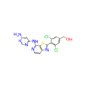 Nc1cc(Nc2nccc3nc(-c4c(Cl)cc(CO)cc4Cl)sc23)ncn1